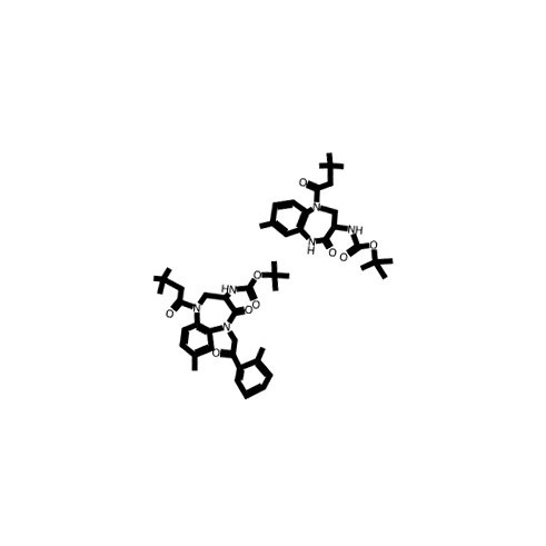 Cc1ccc2c(c1)N(CC(=O)c1ccccc1C)C(=O)C(NC(=O)OC(C)(C)C)CN2C(=O)CC(C)(C)C.Cc1ccc2c(c1)NC(=O)C(NC(=O)OC(C)(C)C)CN2C(=O)CC(C)(C)C